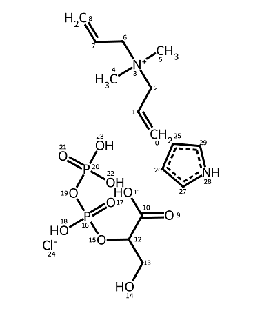 C=CC[N+](C)(C)CC=C.O=C(O)C(CO)OP(=O)(O)OP(=O)(O)O.[Cl-].c1cc[nH]c1